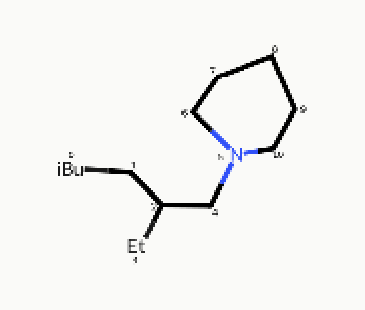 CCC(C)CC(CC)CN1CCCCC1